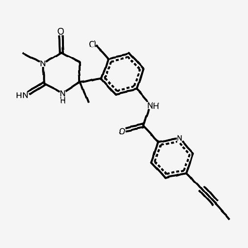 CC#Cc1ccc(C(=O)Nc2ccc(Cl)c(C3(C)CC(=O)N(C)C(=N)N3)c2)nc1